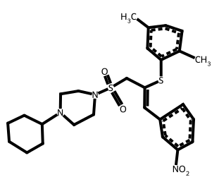 Cc1ccc(C)c(SC(=Cc2cccc([N+](=O)[O-])c2)CS(=O)(=O)N2CCN(C3CCCCC3)CC2)c1